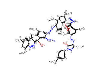 Cc1cc(/N=N/c2c(C(=O)O)nn(-c3ccc(S(=O)(=O)O)cc3)c2O)c(S(=O)(=O)O)cc1/N=N\c1c(S(=O)(=O)O)cc2c(S(=O)(=O)O)c(N=Nc3cc(S(=O)(=O)O)c4cc(S(=O)(=O)O)c(/N=N\c5ccc([N+](=O)[O-])cc5S(=O)(=O)O)c(O)c4c3N)ccc2c1O